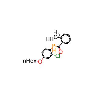 CCCCCCOc1ccc(PC(=O)c2ccccc2C)c(Cl)c1.[LiH]